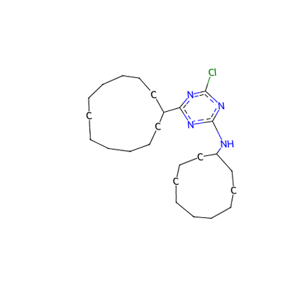 Clc1nc(NC2CCCCCCCCC2)nc(C2CCCCCCCCCCC2)n1